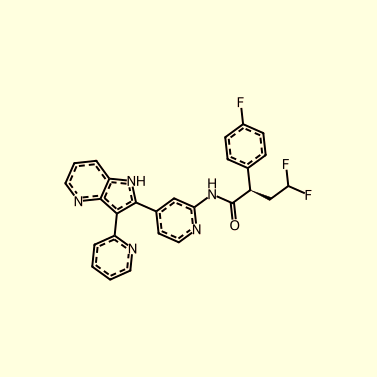 O=C(Nc1cc(-c2[nH]c3cccnc3c2-c2ccccn2)ccn1)[C@H](CC(F)F)c1ccc(F)cc1